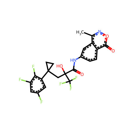 Cc1noc(=O)c2ccc(NC(=O)C(O)(CC3(c4cc(F)cc(F)c4F)CC3)C(F)(F)F)cc12